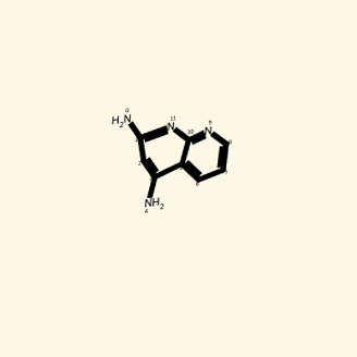 Nc1cc(N)c2cccnc2n1